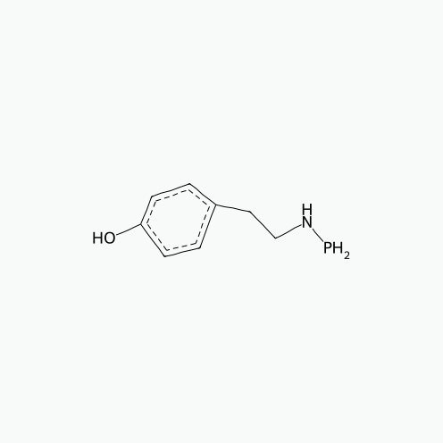 Oc1ccc(CCNP)cc1